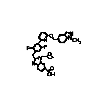 Cn1ncc2cc(COc3cccc(-c4cc(F)c(Cc5nc6ccc(C(=O)O)cc6n5C[C@@H]5CCO5)cc4F)n3)ccc21